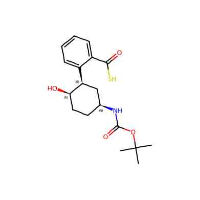 CC(C)(C)OC(=O)N[C@H]1CC[C@@H](O)[C@@H](c2ccccc2C(=O)S)C1